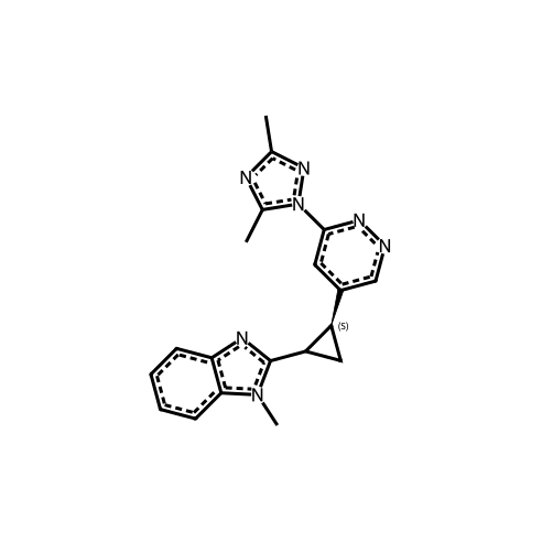 Cc1nc(C)n(-c2cc([C@H]3CC3c3nc4ccccc4n3C)cnn2)n1